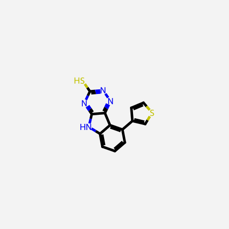 Sc1nnc2c(n1)[nH]c1cccc(-c3ccsc3)c12